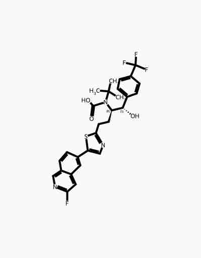 CC(C)(C)N(C(=O)O)[C@H](CCc1ncc(-c2ccc3cnc(F)cc3c2)s1)[C@@H](O)c1ccc(C(F)(F)F)cc1